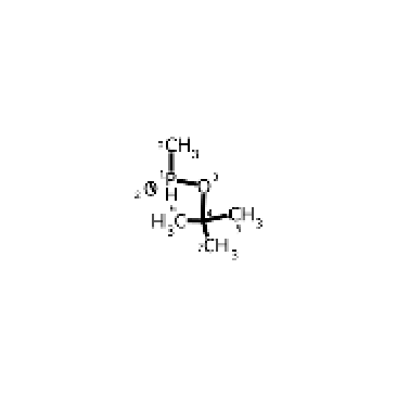 C[PH](=O)OC(C)(C)C